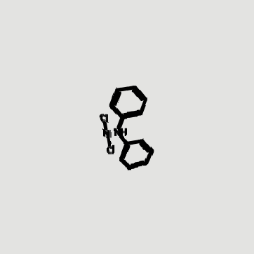 [Cl][Ni][Cl].c1ccc(Nc2ccccc2)cc1